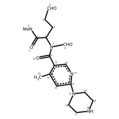 CNC(=O)C(CCC=O)N(C=O)C(=O)c1cnc(N2CCNCC2)cc1C